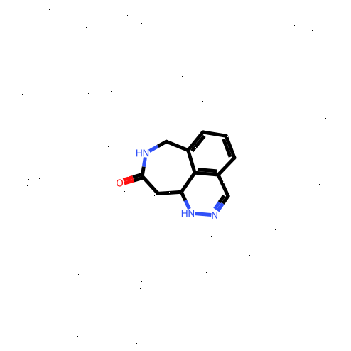 O=C1CC2NN=Cc3cccc(c32)CN1